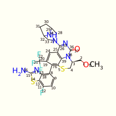 COC[C@H]1CSc2c(-c3ccc(F)c4sc(N)nc34)c(C(F)(F)F)cc3c(N4CC5CCC(C4)N5)nc(=O)n1c23